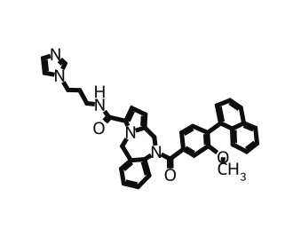 COc1cc(C(=O)N2Cc3ccc(C(=O)NCCCn4ccnc4)n3Cc3ccccc32)ccc1-c1cccc2ccccc12